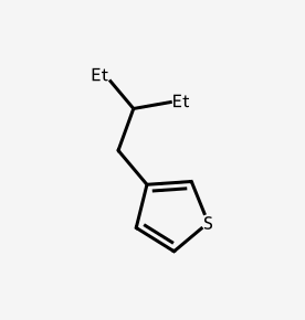 CCC(CC)Cc1ccsc1